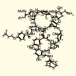 CN[C@H](CC(C)C)C(=O)N[C@H]1C(=O)N[C@@H](CC(=O)NS(=O)(=O)c2ccc(OCCN(C)C)cc2)C(=O)N[C@H]2C(=O)N[C@H]3C(=O)N[C@H](C(=O)N[C@H](C(=O)NC4C5CC6CC(C5)CC4C6)c4cc(O)cc(O)c4-c4cc3ccc4O)[C@H](O)c3ccc(c(Cl)c3)Oc3cc2cc(c3O[C@@H]2C[C@H](CN)[C@@H](O)[C@H](O)[C@H]2O)Oc2ccc(cc2C)[C@H]1O